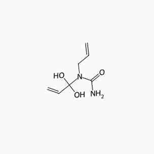 C=CCN(C(N)=O)C(O)(O)C=C